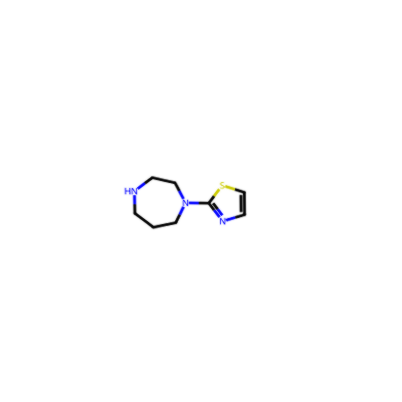 c1csc(N2CCCNCC2)n1